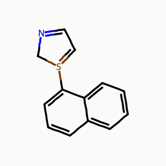 C1=NCS(c2cccc3ccccc23)=C1